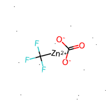 F[C](F)(F)[Zn+2].O=C([O-])[O-]